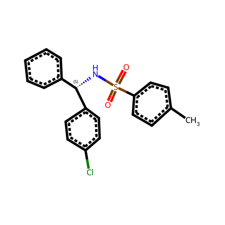 Cc1ccc(S(=O)(=O)N[C@@H](c2ccccc2)c2ccc(Cl)cc2)cc1